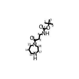 CC(C)(C)OC(=O)NCCC(=O)N1CCCNCC1